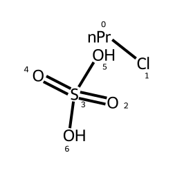 CCCCl.O=S(=O)(O)O